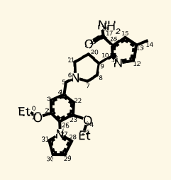 CCOc1cc(CN2CCC(c3ncc(C)cc3C(N)=O)CC2)cc(OCC)c1-n1cccc1